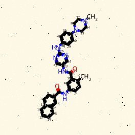 Cc1ccc(NC(=O)c2ccc3ccccc3c2)cc1C(=O)Nc1cnc(Nc2ccc(N3CCN(C)CC3)cc2)nc1